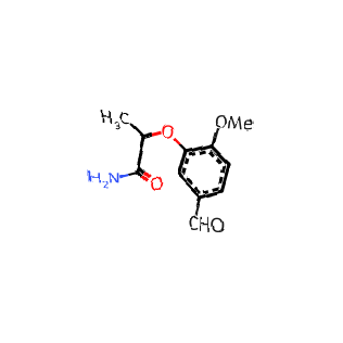 COc1ccc(C=O)cc1OC(C)C(N)=O